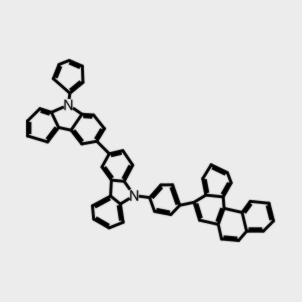 c1ccc(-n2c3ccccc3c3cc(-c4ccc5c(c4)c4ccccc4n5-c4ccc(-c5cc6ccc7ccccc7c6c6ccccc56)cc4)ccc32)cc1